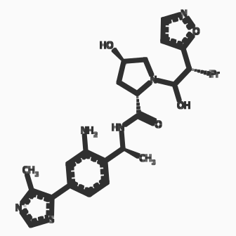 Cc1ncsc1-c1ccc([C@H](C)NC(=O)[C@@H]2C[C@@H](O)CN2C(O)[C@H](c2ccno2)C(C)C)c(N)c1